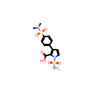 CN(C)S(=O)(=O)c1ccc(-c2ccn(S(N)(=O)=O)c2C(=O)O)cc1